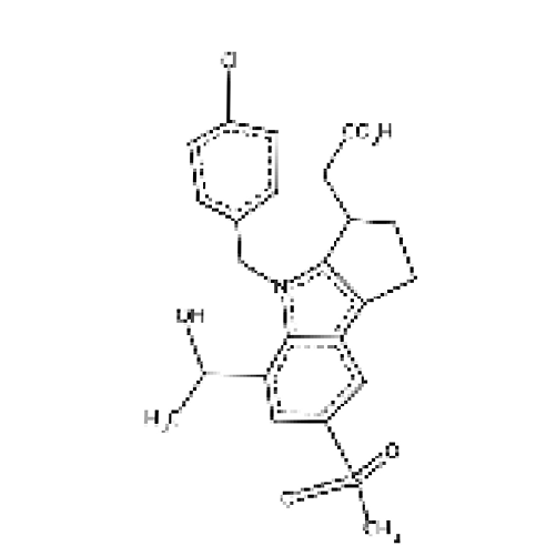 CC(O)c1cc(S(C)(=O)=O)cc2c3c(n(Cc4ccc(Cl)cc4)c12)C(CC(=O)O)CC3